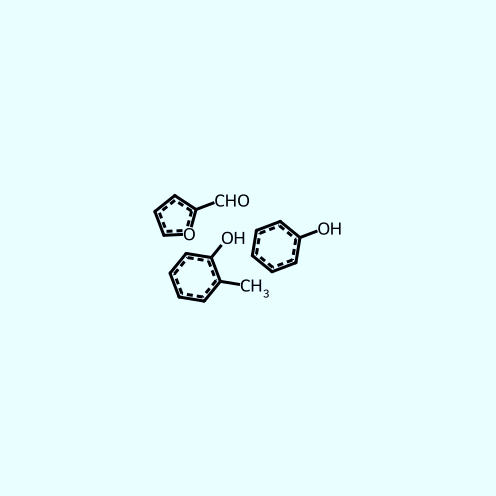 Cc1ccccc1O.O=Cc1ccco1.Oc1ccccc1